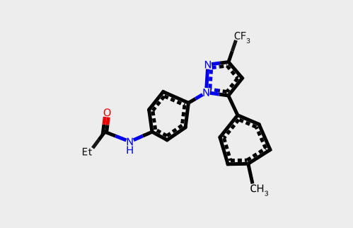 CCC(=O)Nc1ccc(-n2nc(C(F)(F)F)cc2-c2ccc(C)cc2)cc1